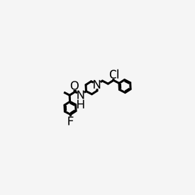 CC(C(=O)NC1CCN(CCC(Cl)c2ccccc2)CC1)c1ccc(F)cc1